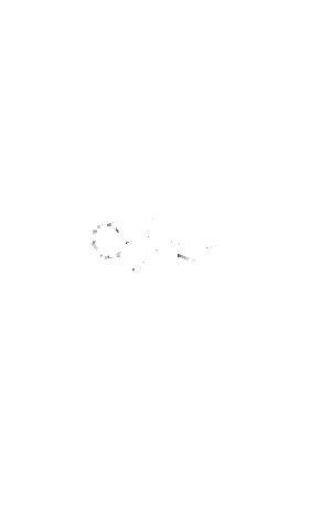 CCC[C@@]1(C(=O)O)CC[C@H](c2ccccc2C(F)(F)F)C1